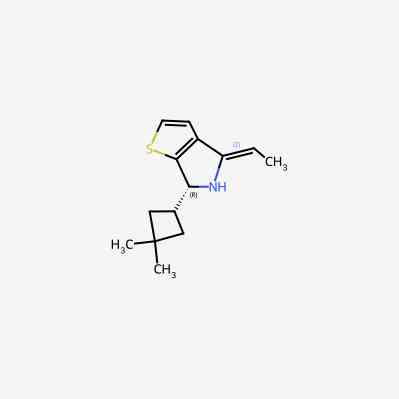 C/C=C1\N[C@H](C2CC(C)(C)C2)c2sccc21